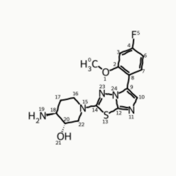 COc1cc(F)ccc1-c1cnc2sc(N3CC[C@H](N)[C@@H](O)C3)nn12